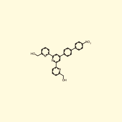 O=[N+]([O-])c1ccc(-c2ccc(-c3cc(-c4cccc(CO)n4)nc(-c4cccc(CO)n4)c3)cc2)cc1